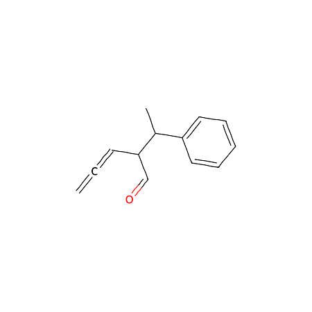 C=C=CC(C=O)C(C)c1ccccc1